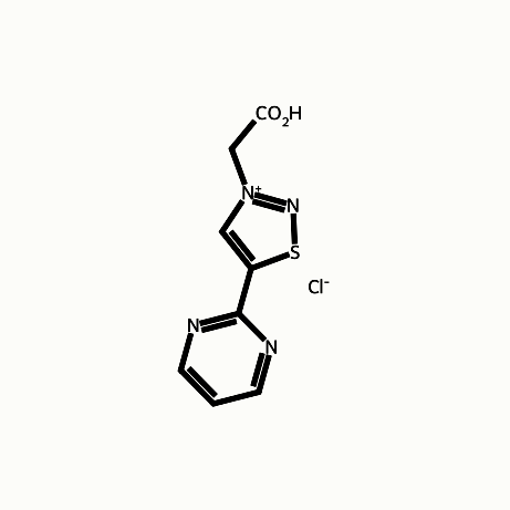 O=C(O)C[n+]1cc(-c2ncccn2)sn1.[Cl-]